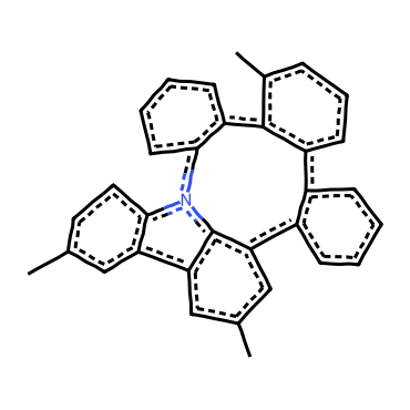 Cc1ccc2c(c1)c1cc(C)cc3c4ccccc4c4cccc(C)c4c4ccccc4n2c31